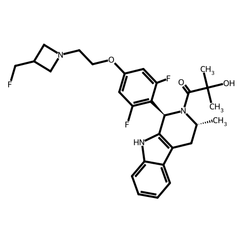 C[C@@H]1Cc2c([nH]c3ccccc23)[C@@H](c2c(F)cc(OCCN3CC(CF)C3)cc2F)N1C(=O)C(C)(C)O